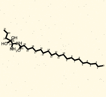 CCCCCCCCCCCCCCCCCCCCCC(=O)NC(N)C(O)(O)CCC